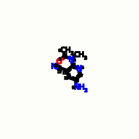 CC(=O)N(C)c1ncc(N)cc1C#N